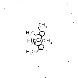 CCC1=CC[C]([Zr]([CH3])([CH3])[C]2=C(CC)C(CC)=CC2)=C1CC